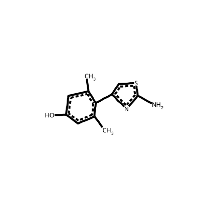 Cc1cc(O)cc(C)c1-c1csc(N)n1